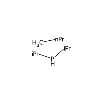 CC(C)PC(C)C.CCCC